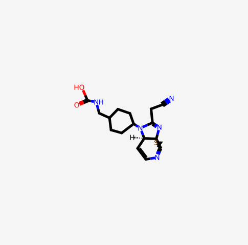 N#CCC1=N[C@]23SC=CC2=NC=C[C@H]3N1C1CCC(CNC(=O)O)CC1